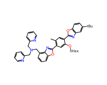 CCCCCCOc1cc(-c2nc3c(CN(Cc4ccccn4)Cc4ccccn4)cccc3o2)c(C)cc1-c1nc2cc(C(C)(C)C)ccc2o1